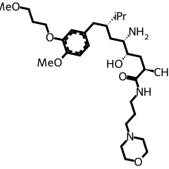 COCCCOc1cc(C[C@@H](C[C@H](N)[C@@H](O)C[C@@H](C)C(=O)NCCCN2CCOCC2)C(C)C)ccc1OC